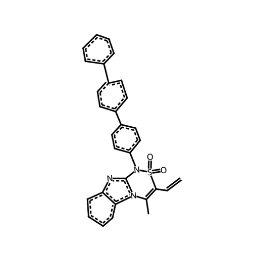 C=CC1=C(C)n2c(nc3ccccc32)N(c2ccc(-c3ccc(-c4ccccc4)cc3)cc2)S1(=O)=O